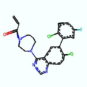 C=CC(=O)N1CCN(c2ncnc3cc(Cl)c(-c4cc(F)ccc4Cl)cc23)CC1